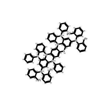 CC(C)c1ccccc1N(c1cc2c3c(c1)N(c1ccccc1)c1ccccc1B3c1cc3c(cc1S2)N(c1ccccc1)c1cc(N(c2ccccc2C(C)C)c2ccccc2C(C)C)cc2c1B3c1ccccc1N2c1ccccc1)c1ccccc1C(C)C